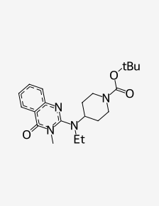 CCN(c1nc2ccccc2c(=O)n1C)C1CCN(C(=O)OC(C)(C)C)CC1